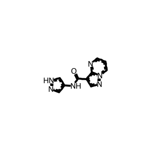 O=C(Nc1cn[nH]c1)c1cnn2cccnc12